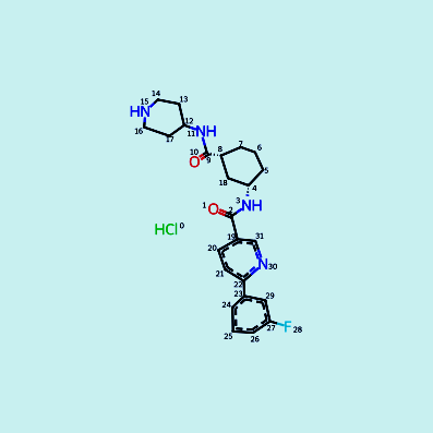 Cl.O=C(N[C@H]1CCC[C@@H](C(=O)NC2CCNCC2)C1)c1ccc(-c2cccc(F)c2)nc1